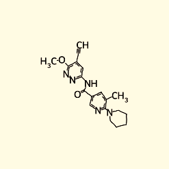 C#Cc1cc(NC(=O)c2cnc(N3CCCCC3)c(C)c2)nnc1OC